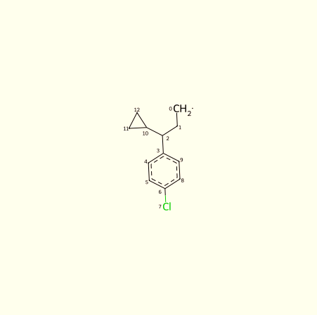 [CH2]CC(c1ccc(Cl)cc1)C1CC1